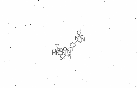 CCOc1cncc(-c2ccc3c(c2)CN([C@H](CC)c2csc(NS(=O)(=O)C4CC4)n2)C3=O)n1